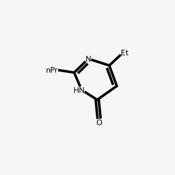 CCCc1nc(CC)cc(=O)[nH]1